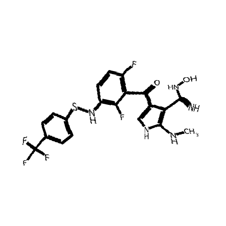 CNc1[nH]cc(C(=O)c2c(F)ccc(NSc3ccc(C(F)(F)F)cc3)c2F)c1C(=N)NO